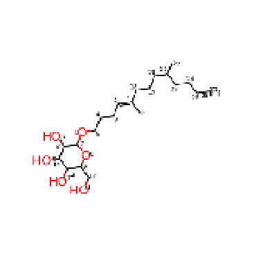 C/C(=C\CCCOC1OC(CO)C(O)C(O)C1O)CCCC(C)CCCC(C)C